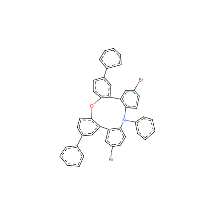 Brc1ccc2c(c1)-c1cc(-c3ccccc3)ccc1Oc1ccc(-c3ccccc3)cc1-c1cc(Br)ccc1N2c1ccccc1